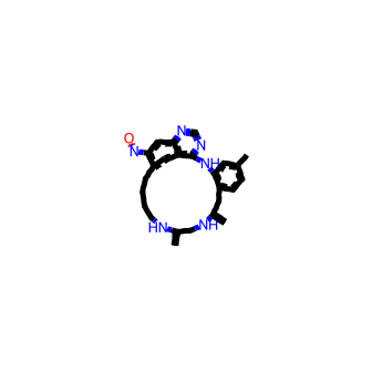 C=C1CNC(=C)Cc2ccc(C)cc2Nc2ncnc3cc(N=O)c(cc23)CCCCN1